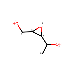 CC(O)C1OC1CO